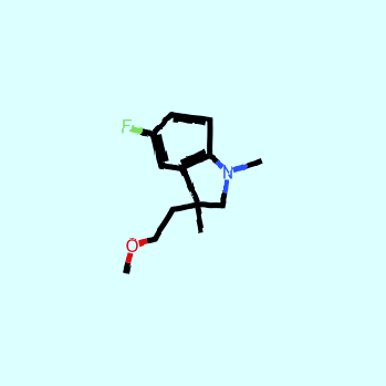 COCCC1(C)CN(C)c2ccc(F)cc21